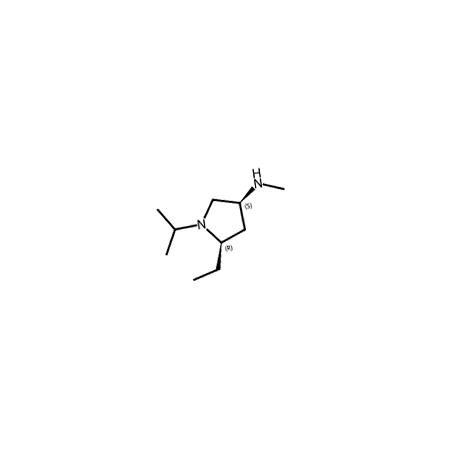 CC[C@@H]1C[C@H](NC)CN1C(C)C